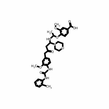 COc1cc(CC(=O)CC(NC(C)Oc2ccc(C(=O)O)cc2OC)N2CCOCC2)ccc1NC(=O)Nc1ccccc1C